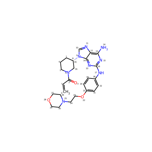 C=CC(=O)N1CCC[C@H](n2cnc3c(N)nc(Nc4ccc(OCCN5CCOCC5)cc4)nc32)C1